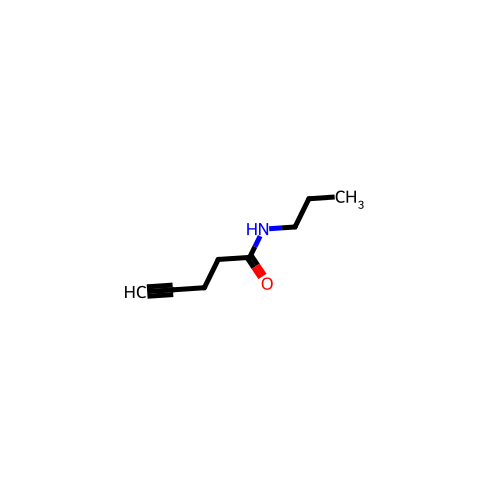 C#CCCC(=O)NCCC